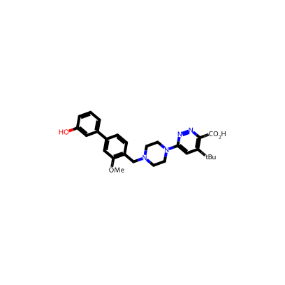 COc1cc(-c2cccc(O)c2)ccc1CN1CCN(c2cc(C(C)(C)C)c(C(=O)O)nn2)CC1